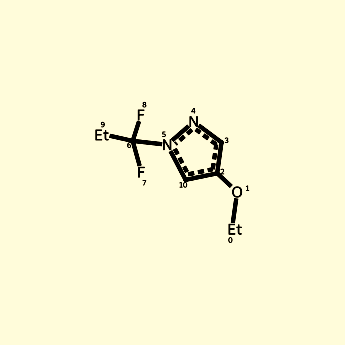 CCOc1cnn(C(F)(F)CC)c1